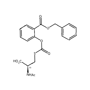 CC(=O)N[C@H](CSC(=O)Oc1ccccc1C(=O)OCc1ccccc1)C(=O)O